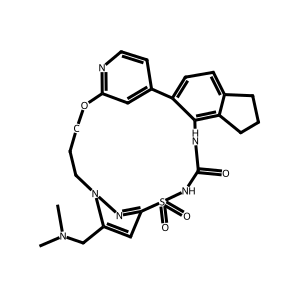 CN(C)Cc1cc2nn1CCCOc1cc(ccn1)-c1ccc3c(c1NC(=O)NS2(=O)=O)CCC3